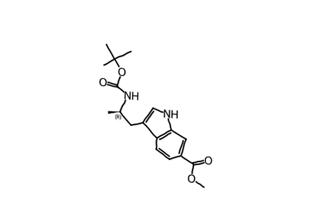 COC(=O)c1ccc2c(C[C@@H](C)NC(=O)OC(C)(C)C)c[nH]c2c1